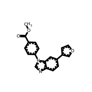 COC(=O)c1ccc(-n2cnc3ccc(-c4ccoc4)cc32)cc1